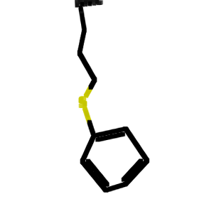 CNCCCSc1ccccc1